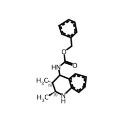 C[C@@H]1Nc2ccccc2C(NC(=O)OCc2ccccc2)[C@H]1C